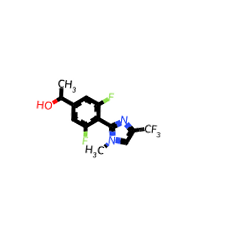 CC(O)c1cc(F)c(-c2nc(C(F)(F)F)cn2C)c(F)c1